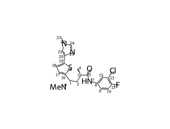 CN[C@@H](C[C@@H](C)C(=O)Nc1ccc(F)c(Cl)c1)c1ccc(-c2cn(C)cn2)s1